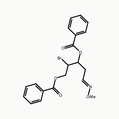 CON=CCC(OC(=O)c1ccccc1)C(Br)COC(=O)c1ccccc1